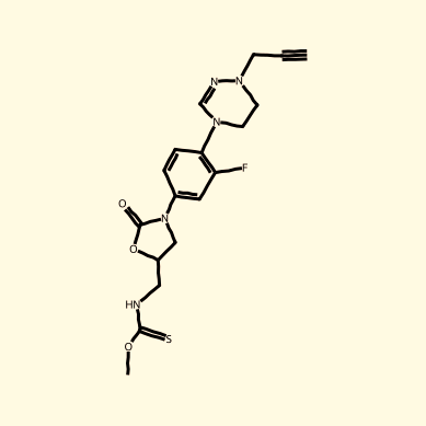 C#CCN1CCN(c2ccc(N3CC(CNC(=S)OC)OC3=O)cc2F)C=N1